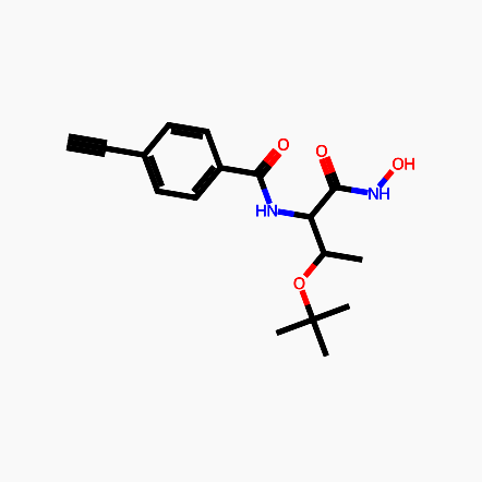 C#Cc1ccc(C(=O)NC(C(=O)NO)C(C)OC(C)(C)C)cc1